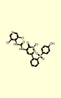 CCn1nc(-c2ccccc2S(=O)(=O)c2ccc(O)cc2)cc(NC(=O)Nc2c(Cl)cncc2Cl)c1=O